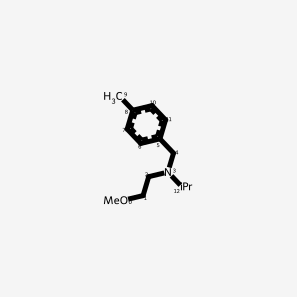 COCCN(Cc1ccc(C)cc1)C(C)C